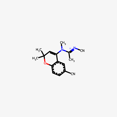 C/C(=N\C#N)N(C)C1=CC(C)(C)Oc2ccc(C#N)cc21